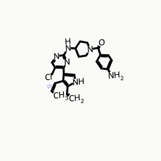 C=Cc1[nH]cc(-c2nc(NC3CCN(C(=O)c4ccc(N)cc4)CC3)ncc2Cl)c1/C=C\C